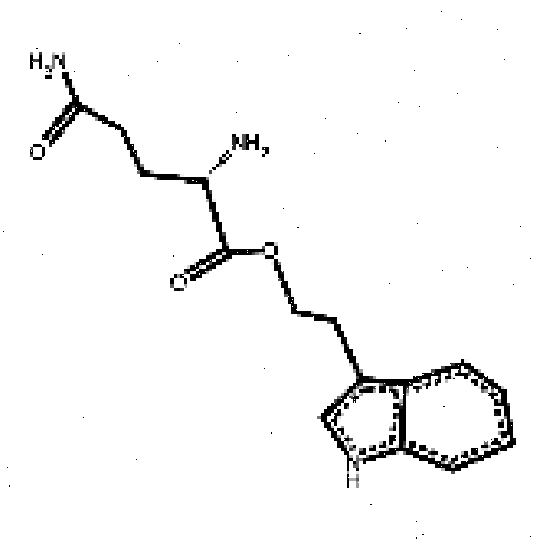 NC(=O)CC[C@H](N)C(=O)OCCc1c[nH]c2ccccc12